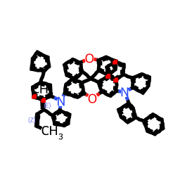 C=C/C=C(\C=C/C)c1ccccc1N(c1cccc(-c2ccccc2)c1)c1ccc2c(c1)Oc1cc(N(c3cccc(-c4ccccc4)c3)c3ccccc3-c3ccccc3)ccc1C21c2ccccc2Oc2ccccc21